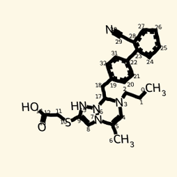 CCCN1C=C(C)N2C=C(SCC(=O)O)NN2C1Cc1ccc(-c2ccccc2C#N)cc1